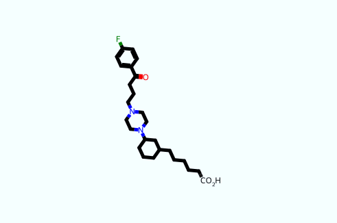 O=C(O)CCCCCC1CCCC(N2CCN(CCCC(=O)c3ccc(F)cc3)CC2)C1